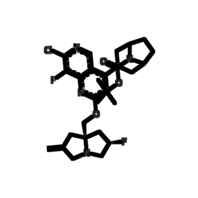 C=C1CN2C[C@H](F)C[C@@]2(COc2nc(N3CC4CCC(C3)N4C(=O)OC(C)(C)C)c3cnc(Cl)c(F)c3n2)C1